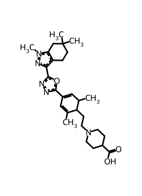 CC1=CC(c2nnc(-c3nn(C)c4c3CCC(C)(C)C4)o2)=CC(C)C1CCN1CCC(C(=O)O)CC1